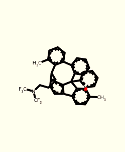 Cc1ccc2c(c1)C1(c3ccccn3)c3ccccc3-c3cccc(C)c3-c3ccc-2c1c3CCN(C(F)(F)F)C(F)(F)F